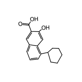 O=C(O)c1cc2cccc(C3CCCCC3)c2cc1O